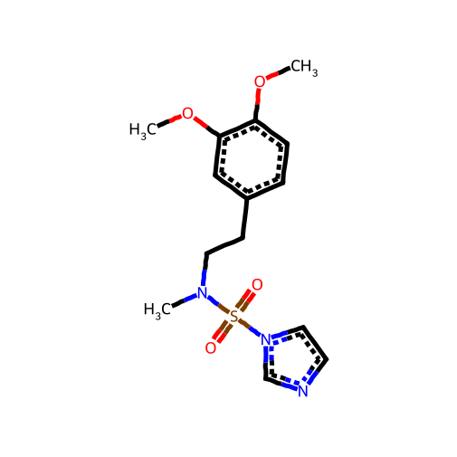 COc1ccc(CCN(C)S(=O)(=O)n2ccnc2)cc1OC